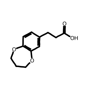 O=C(O)CCc1ccc2c(c1)OCCCO2